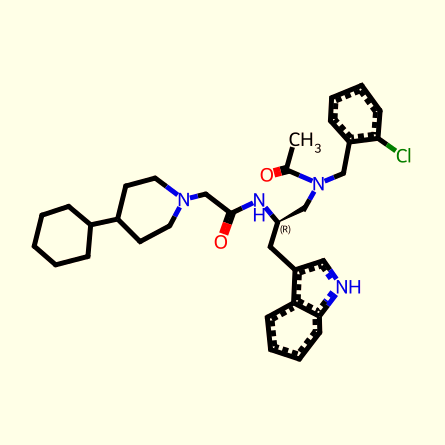 CC(=O)N(Cc1ccccc1Cl)C[C@@H](Cc1c[nH]c2ccccc12)NC(=O)CN1CCC(C2CCCCC2)CC1